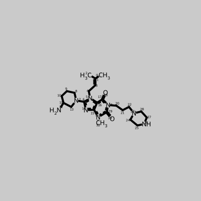 CC(C)=CCn1c(N2CCCC(N)C2)nc2c1c(=O)n(CCCN1CCNCC1)c(=O)n2C